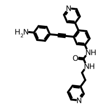 Nc1ccc(C#Cc2cc(NC(=O)NCCc3cccnc3)ccc2-c2ccncc2)cc1